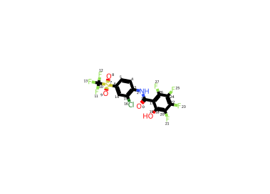 O=C(Nc1ccc(S(=O)(=O)C(F)(F)F)cc1Cl)c1c(O)c(F)c(F)c(F)c1F